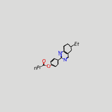 CCCC(=O)Oc1ccc(-c2ncc3c(n2)CCC(CC)C3)cc1